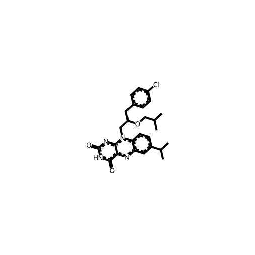 CC(C)COC(Cc1ccc(Cl)cc1)Cn1c2nc(=O)[nH]c(=O)c-2nc2cc(C(C)C)ccc21